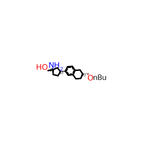 CCCCOC[C@@H]1CCc2cc([C@H]3CC[C@](N)(CO)C3)ccc2C1